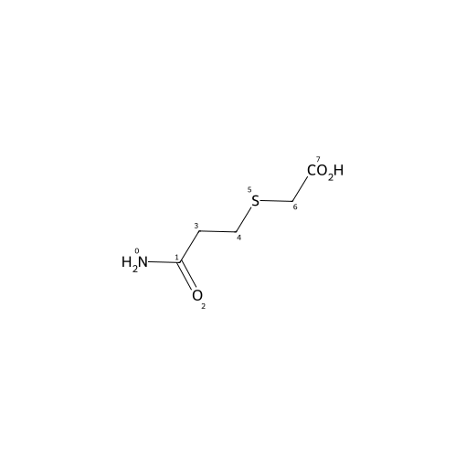 NC(=O)CCSCC(=O)O